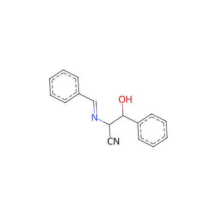 N#CC(N=Cc1ccccc1)C(O)c1ccccc1